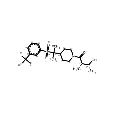 C[C@@H](O)[C@H](N)C(=O)N1CCC(C(C)(C)S(=O)(=O)c2cccc(C(F)(F)F)c2)CC1